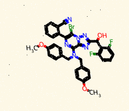 COc1ccc(CN(Cc2ccc(OC)cc2)c2nc(-c3ccccc3C#N)c(Br)n3nc(C(O)c4c(F)cccc4F)nc23)cc1